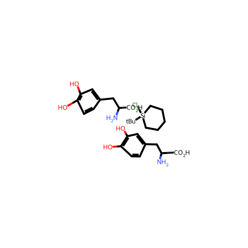 CC(C)(C)[Si]1(Cl)CCCCC1.NC(Cc1ccc(O)c(O)c1)C(=O)O.NC(Cc1ccc(O)c(O)c1)C(=O)O